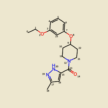 CCOc1cccc(OC2CCN(C(=O)c3cc(C)n[nH]3)CC2)c1